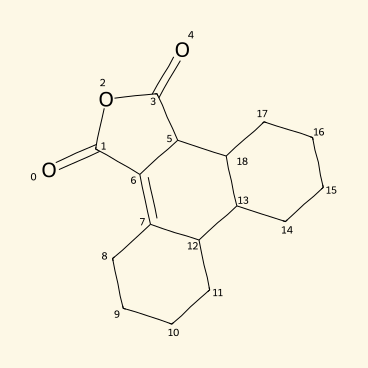 O=C1OC(=O)C2C1=C1CCCCC1C1CCCCC21